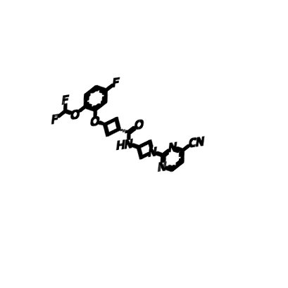 N#Cc1ccnc(N2CC(NC(=O)[C@H]3C[C@H](Oc4cc(F)ccc4OC(F)F)C3)C2)n1